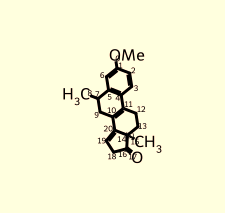 COc1ccc2c(c1)C(C)CC1=C2CC[C@]2(C)C(=O)CC=C12